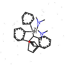 C[N](C)[Zr]([N](C)C)[Sn]([c]1ccccc1)([c]1ccccc1C1=CC=CC1)[CH]1C=Cc2ccccc21